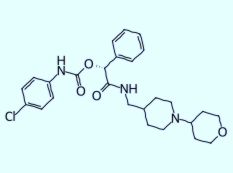 O=C(Nc1ccc(Cl)cc1)O[C@@H](C(=O)NCC1CCN(C2CCOCC2)CC1)c1ccccc1